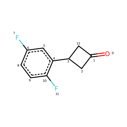 O=C1CC(c2cc(F)ccc2F)C1